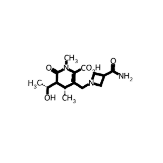 C[C@@H](O)C1C(=O)N(C)C(C(=O)O)=C(CN2CC(C(N)=O)C2)[C@@H]1C